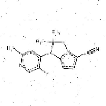 CC1(C)Cn2c(C#N)ccc2C1c1cc(N)ncc1F